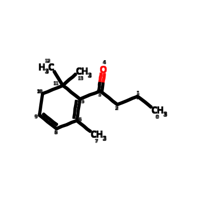 C[CH]CC(=O)C1=C(C)C=CCC1(C)C